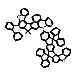 CC1(C)c2cc(N(c3ccc4c(c3)C3(c5ccccc5-c5ccccc53)c3cc5c(cc3-4)C3(c4ccccc4-c4ccccc43)c3ccc4oc6ccccc6c4c3-5)c3ccccc3-c3ccccc3)ccc2-c2c1cc(-c1ccccc1-c1ccccc1)c1oc3ccccc3c21